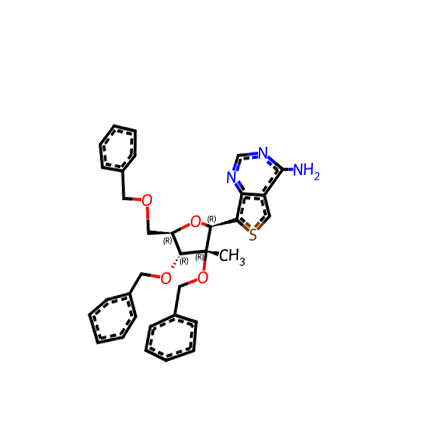 C[C@@]1(OCc2ccccc2)[C@H](OCc2ccccc2)[C@@H](COCc2ccccc2)O[C@H]1c1scc2c(N)ncnc12